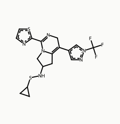 FC(F)(F)n1cc(C2=C3CC(NSC4CC4)CN3C(c3nccs3)=NC2)cn1